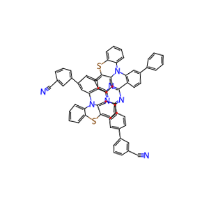 N#Cc1cccc(-c2ccc(-c3nc(-c4ccc(-c5ccccc5)cc4N4c5ccccc5Sc5ccccc54)nc(-c4ccc(-c5cccc(C#N)c5)cc4N4c5ccccc5Sc5ccccc54)n3)cc2)c1